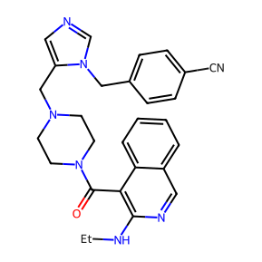 CCNc1ncc2ccccc2c1C(=O)N1CCN(Cc2cncn2Cc2ccc(C#N)cc2)CC1